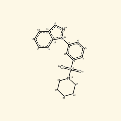 O=S(=O)(c1cccc(-n2ncc3ccccc32)c1)N1CCCCC1